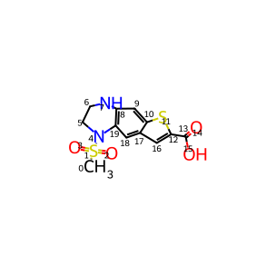 CS(=O)(=O)N1CCNc2cc3sc(C(=O)O)cc3cc21